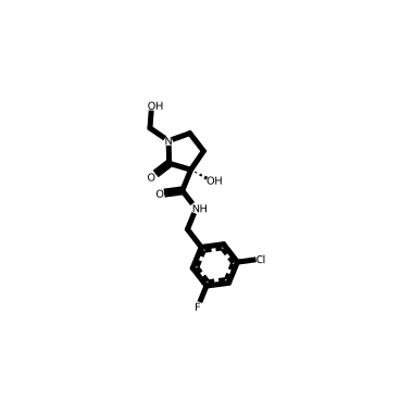 O=C(NCc1cc(F)cc(Cl)c1)[C@]1(O)CCN(CO)C1=O